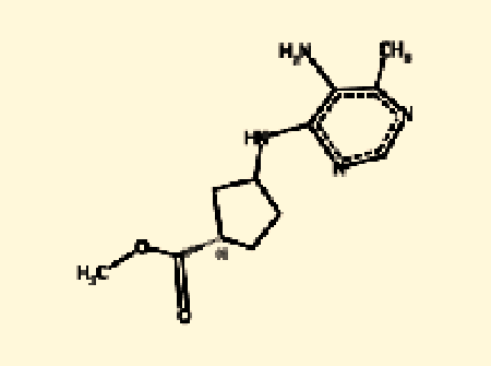 COC(=O)[C@H]1CCC(Nc2ncnc(C)c2N)C1